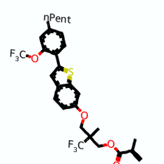 C=C(C)C(=O)OCC(C)(COc1ccc2cc(-c3ccc(CCCCC)cc3OC(F)(F)F)sc2c1)C(F)(F)F